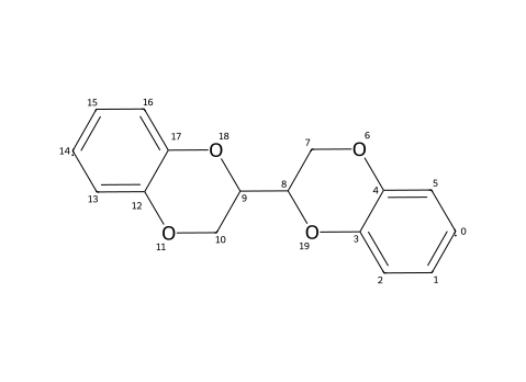 [c]1ccc2c(c1)OCC(C1COc3c[c]ccc3O1)O2